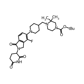 CC(C)(C)OC(=O)N1CCN(CC2CCN(c3ccc4c(c3F)CN(C3CCC(=O)NC3=O)C4=O)CC2)C(C)(C)C1